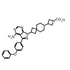 Nc1ncnc2c1c(-c1ccc(Oc3ccccc3)cc1)nn2C1CC2(CCN(C3CN(C(=O)O)C3)CC2)C1